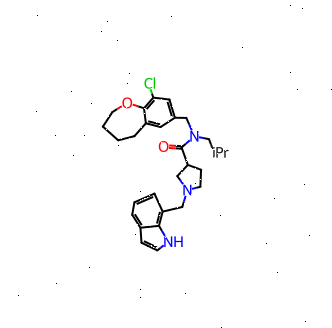 CC(C)CN(Cc1cc(Cl)c2c(c1)CCCCO2)C(=O)C1CCN(Cc2cccc3cc[nH]c23)C1